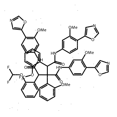 COc1cc(NC(=O)C(c2ccccc2OC(F)F)C(C(=O)Nc2ccc(-c3cnco3)c(OC)c2)(c2ccccc2OC)C(C(=O)Nc2ccc(-c3cnco3)c(OC)c2)c2ccccc2OC(F)(F)F)ccc1-c1cnco1